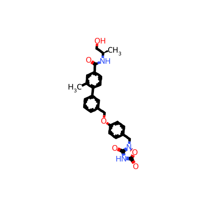 Cc1cc(C(=O)N[C@H](C)CO)ccc1-c1cccc(COc2ccc(Cn3oc(=O)[nH]c3=O)cc2)c1